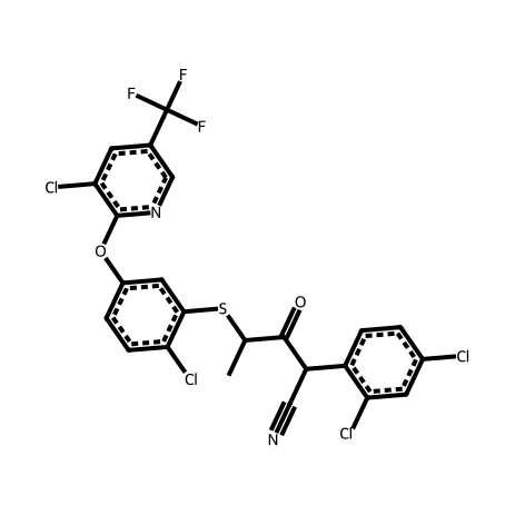 CC(Sc1cc(Oc2ncc(C(F)(F)F)cc2Cl)ccc1Cl)C(=O)C(C#N)c1ccc(Cl)cc1Cl